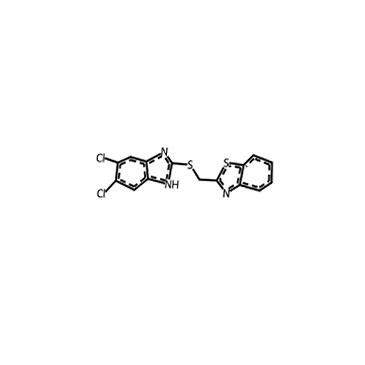 Clc1cc2nc(SCc3nc4ccccc4s3)[nH]c2cc1Cl